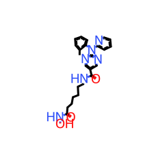 Cc1ccccc1N(c1ccccn1)c1ncc(C(=O)NCCCCCCC(=O)NO)cn1